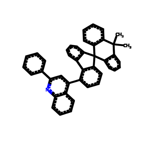 CC1(C)c2ccccc2C2(c3ccccc3-c3c(-c4cc(-c5ccccc5)nc5ccccc45)cccc32)c2ccccc21